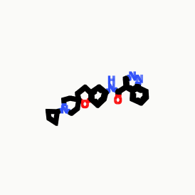 O=C(Nc1ccc2c(c1)CCC1(CCN(C3CCC3)CC1)O2)c1cnnc2ccccc12